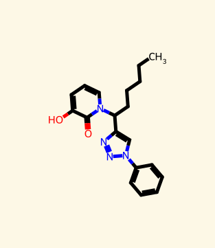 CCCCCC(c1cn(-c2ccccc2)nn1)n1cccc(O)c1=O